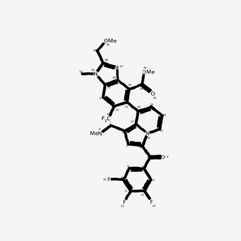 CNCc1cc(C(=O)c2cc(F)c(F)c(F)c2)n2cccc(-c3c(C(F)(F)F)cc4c(nc(COC)n4C)c3C(=O)OC)c12